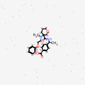 CC(NC(=O)C1(N(C)CCOc2ccccc2)CCCOC1)c1ccc(C(=O)O)cc1